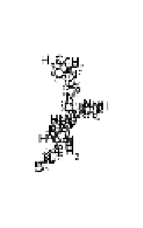 CC(C)c1ccccc1[C@@H]1CCCN1C1CC2(CCN(c3ccc(C(=O)NS(=O)(=O)c4cc(N)c(NCC5(F)CCN(C6COC6)CC5)c5[nH]cnc45)c(Oc4cnc5[nH]ccc5c4)c3)CC2)C1